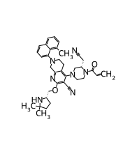 C=CC(=O)N1CCN(c2c(C#N)c(OC[C@@H]3CCC(C)(C)N3)nc3c2CCN(c2cccc4cccc(C)c24)C3)C[C@@H]1CC#N